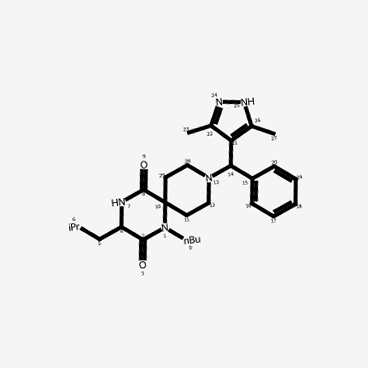 CCCCN1C(=O)C(CC(C)C)NC(=O)C12CCN(C(c1ccccc1)c1c(C)n[nH]c1C)CC2